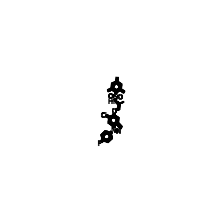 Cc1cc(C)c(S(=O)(=O)N[C@@H](C)COc2cc3cnn(-c4ccc(F)cc4)c3cc2Cl)c(C)c1